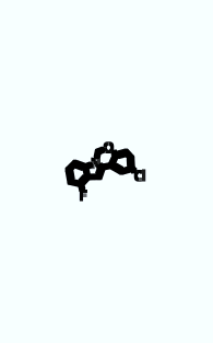 Fc1cccc2c1cc1n2COc2ccc(Cl)cc2-1